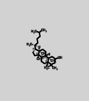 CC(C)CCC[C@@H](C)[C@H]1CC[C@]2(C)[C@@H]1CC[C@@H]1[C@@]3(C)CC(O)CC(C)(C)[C@@H]3CC[C@]12C